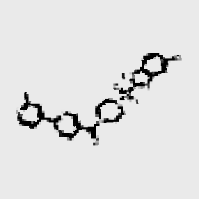 Cc1cc(-c2ncc(C(=O)N3CCN(S(=O)(=O)c4nc5cc(Cl)ccc5[nH]4)CC3)cn2)ccn1